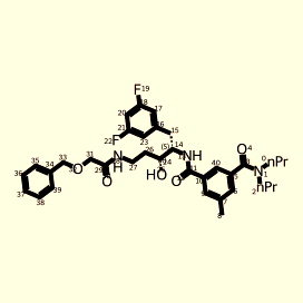 CCCN(CCC)C(=O)c1cc(C)cc(C(=O)N[C@@H](Cc2cc(F)cc(F)c2)[C@H](O)CCNC(=O)COCc2ccccc2)c1